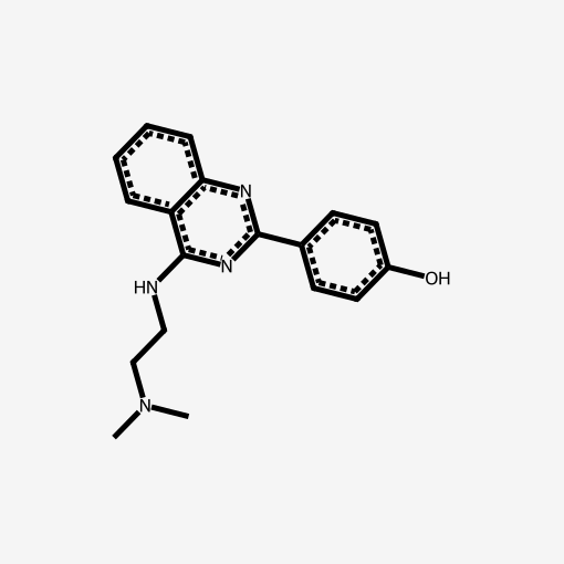 CN(C)CCNc1nc(-c2ccc(O)cc2)nc2ccccc12